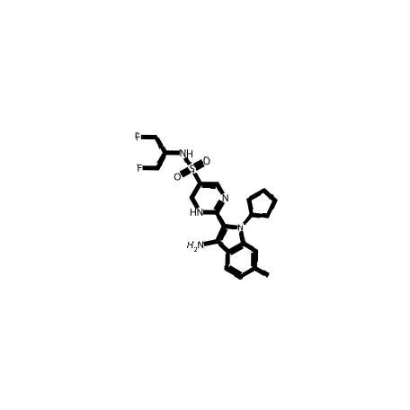 Cc1ccc2c(N)c(C3=NC=C(S(=O)(=O)NC(CF)CF)CN3)n(C3CCCC3)c2c1